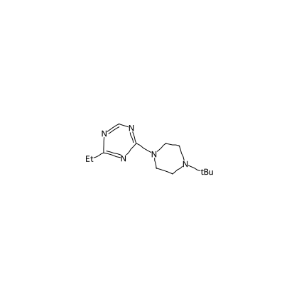 CCc1ncnc(N2CCN(C(C)(C)C)CC2)n1